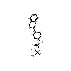 CC(C)(C)OC(=O)NC1CCN(C2=Nc3ccccc3CC2)CC1